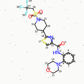 O=C(Nc1ccccc1N1CCOCC1)c1csc(C2CCN(S(=O)(=O)CC(F)(F)F)CC2)n1